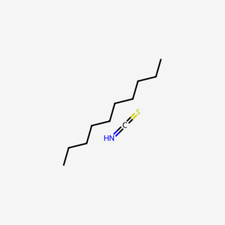 CCCCCCCCCC.N=C=S